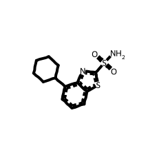 NS(=O)(=O)c1nc2c(C3CCCCC3)cccc2s1